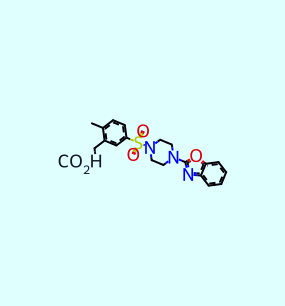 Cc1ccc(S(=O)(=O)N2CCN(c3nc4ccccc4o3)CC2)cc1CC(=O)O